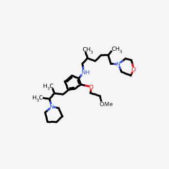 COCCOc1cc(CC(C)C(C)N2CCCCC2)ccc1NCC(C)CCC(C)CN1CCOCC1